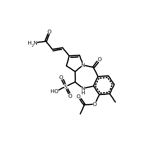 CC(=O)Oc1c(C)ccc2c1NC(S(=O)(=O)O)C1CC(/C=C/C(N)=O)=CN1C2=O